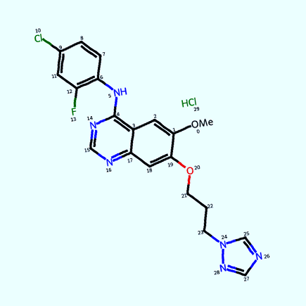 COc1cc2c(Nc3ccc(Cl)cc3F)ncnc2cc1OCCCn1cncn1.Cl